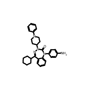 Nc1ccc(N2C(=O)N(C3CCN(c4ccccc4)CC3)N=C(C3CCCCC3)c3ccccc32)cc1